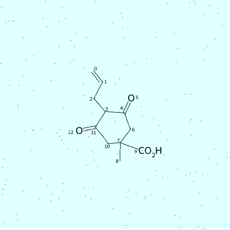 C=CCC1C(=O)CC(C)(C(=O)O)CC1=O